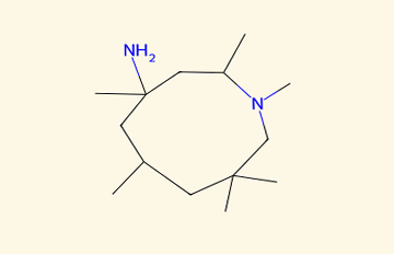 CC1CC(C)(C)CN(C)C(C)CC(C)(N)C1